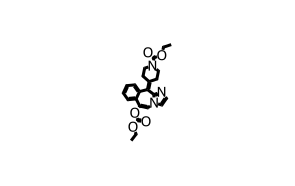 CCOC(=O)OC1=Cn2ccnc2C(=C2CCN(C(=O)OCC)CC2)c2ccccc21